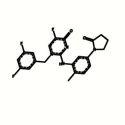 Cc1ccc(N2CCCC2=O)cc1Nc1nc(=O)c(F)cn1Cc1cc(F)cc(F)c1